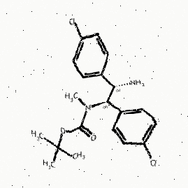 CN(C(=O)OC(C)(C)C)[C@H](c1ccc(Cl)cc1)[C@@H](N)c1ccc(Cl)cc1